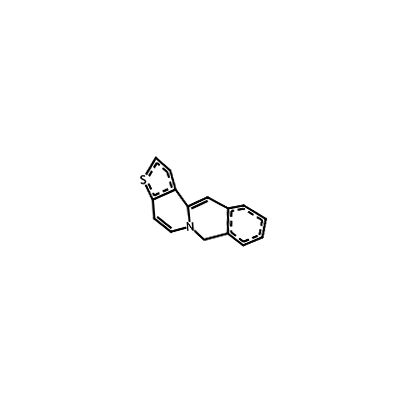 C1=CN2Cc3ccccc3C=C2c2ccsc21